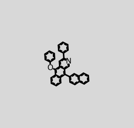 c1ccc(Oc2c3ccccc3c(-c3ccc4ccccc4c3)c3cnc(-c4ccccc4)cc23)cc1